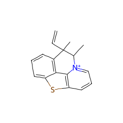 C=CC1(C)c2cccc3sc4ccc[n+](c4c23)C1C